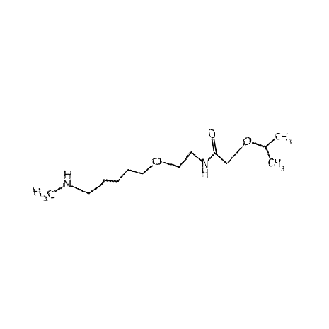 CNCCCCCOCCNC(=O)COC(C)C